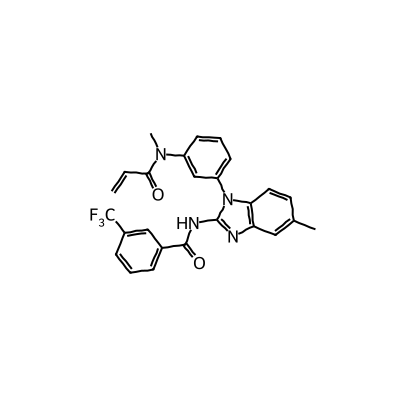 C=CC(=O)N(C)c1cccc(-n2c(NC(=O)c3cccc(C(F)(F)F)c3)nc3cc(C)ccc32)c1